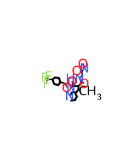 Cc1c(C(=O)NCC(=O)N=O)c(=O)n(OCc2ccc(C(F)(F)F)cc2)c2ncccc12